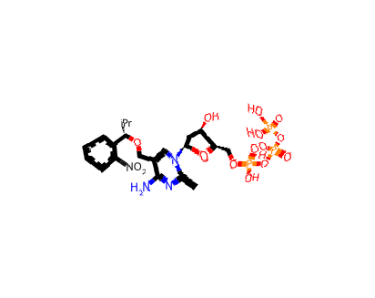 C=C1N=C(N)C(CO[C@H](c2ccccc2[N+](=O)[O-])C(C)C)=CN1[C@H]1C[C@@H](O)[C@@H](COP(=O)(O)OP(=O)(O)OP(=O)(O)O)O1